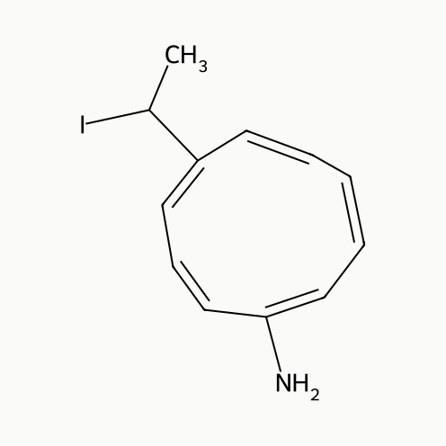 CC(I)c1cccccc(N)ccc1